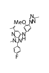 C=C(C)c1cc(Nc2ccc(-n3cnc(C)n3)c(OC)c2)c2nc(-c3ccc(F)cc3)n(C)c2n1